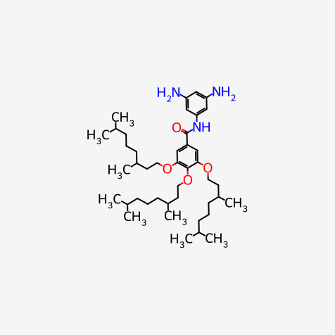 CC(C)CCCC(C)CCOc1cc(C(=O)Nc2cc(N)cc(N)c2)cc(OCCC(C)CCCC(C)C)c1OCCC(C)CCCC(C)C